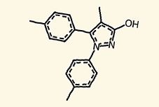 Cc1ccc(-c2c(C)c(O)nn2-c2ccc(C)cc2)cc1